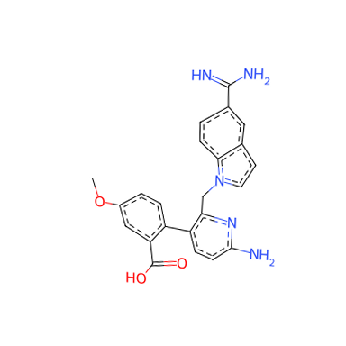 COc1ccc(-c2ccc(N)nc2Cn2ccc3cc(C(=N)N)ccc32)c(C(=O)O)c1